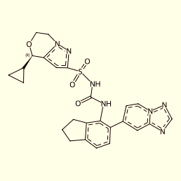 O=C(Nc1c(-c2ccn3ncnc3c2)ccc2c1CCC2)NS(=O)(=O)c1cc2n(n1)CCO[C@@H]2C1CC1